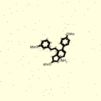 COc1ccc(C2=CC[C@@]3(N)CC(OC)CC3=C2CCc2cccc(OC)c2)cc1